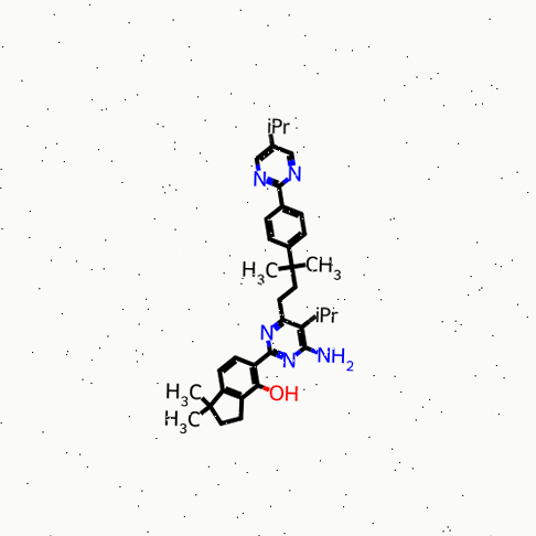 CC(C)c1cnc(-c2ccc(C(C)(C)CCc3nc(-c4ccc5c(c4O)CCC5(C)C)nc(N)c3C(C)C)cc2)nc1